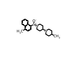 Cc1ccc([S+]([O-])N2CCC(N3CCC(C)CC3)CC2)c2ccccc12